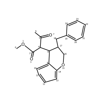 COC(=O)C(C(C)=O)C1c2ccccc2OCC1Cc1ccccc1